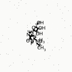 CC(C)CNc1nc2c(ncn2[C@@H]2O[C@H](CO)[C@@H](O)[C@H]2O)c(=O)n1F